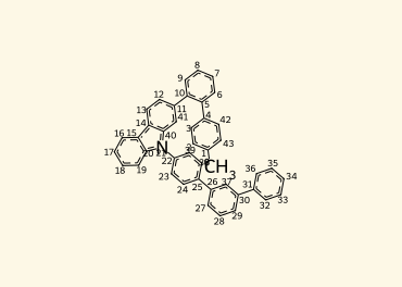 Cc1ccc(-c2ccccc2-c2ccc3c4ccccc4n(-c4ccc(-c5cccc(-c6ccccc6)c5)cc4)c3c2)cc1